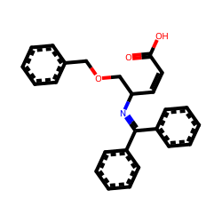 O=C(O)/C=C\C(COCc1ccccc1)N=C(c1ccccc1)c1ccccc1